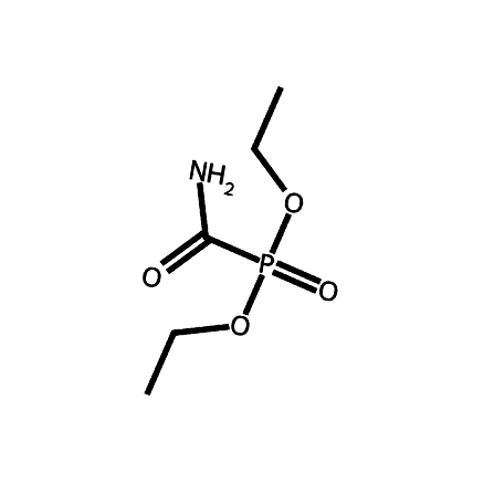 CCOP(=O)(OCC)C(N)=O